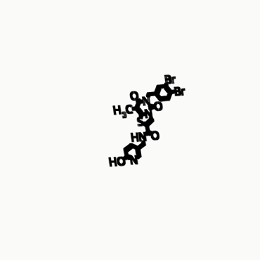 Cc1c(=O)n(Cc2ccc(Br)c(Br)c2)c(=O)n2cc(C(=O)NCc3ccc(O)nc3)sc12